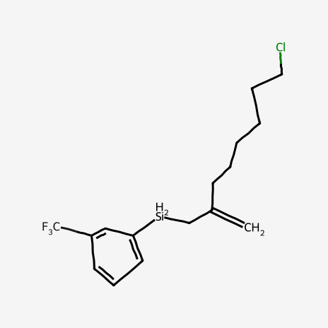 C=C(CCCCCCCl)C[SiH2]c1cccc(C(F)(F)F)c1